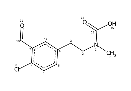 CN(CCc1ccc(Cl)c(C=O)c1)C(=O)O